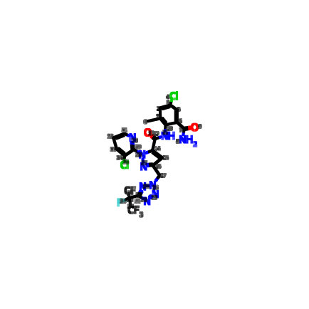 Cc1cc(Cl)cc(C(N)=O)c1NC(=O)c1cc(Cn2nnc(C(F)(C(F)(F)F)C(F)(F)F)n2)nn1-c1ncccc1Cl